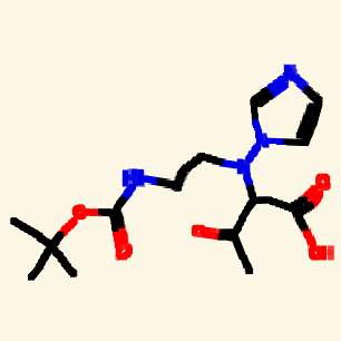 CC(=O)C(C(=O)O)N(CCNC(=O)OC(C)(C)C)n1ccnc1